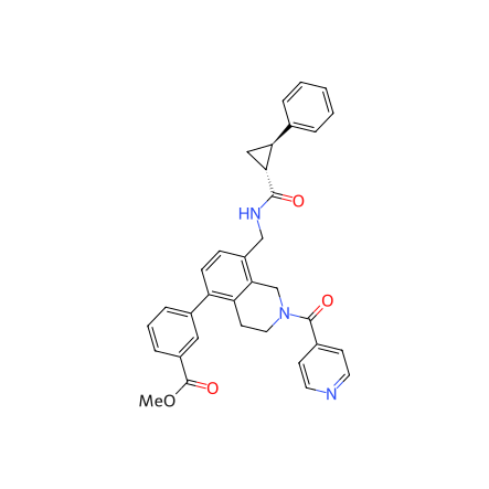 COC(=O)c1cccc(-c2ccc(CNC(=O)[C@@H]3C[C@H]3c3ccccc3)c3c2CCN(C(=O)c2ccncc2)C3)c1